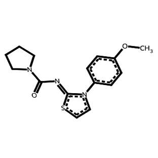 COc1ccc(-n2ccs/c2=N\C(=O)N2CCCC2)cc1